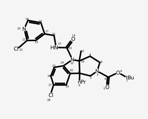 CCCC12CN(C(=O)OC(C)(C)C)CCC1(C)N(C(=O)NCc1ccnc(Cl)c1)c1ccc(Cl)cc12